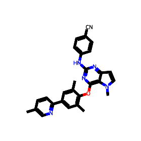 Cc1ccc(-c2cc(C)c(Oc3nc(Nc4ccc(C#N)cc4)nc4ccn(C)c34)c(C)c2)nc1